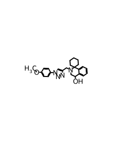 COc1ccc(-n2cc(CN3CC(O)c4ccccc4C34CCCCC4)nn2)cc1